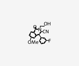 COc1ccc2c(=O)n(CCO)c(C#N)c(-c3cccc(F)c3)c2c1